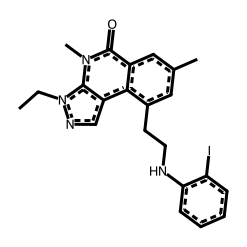 CCn1ncc2c3c(CCNc4ccccc4I)cc(C)cc3c(=O)n(C)c21